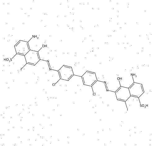 Nc1ccc(S(=O)(=O)O)c2c(I)cc(N=Nc3ccc(-c4ccc(N=Nc5cc(I)c6c(S(=O)(=O)O)ccc(N)c6c5O)c(Cl)c4)cc3Cl)c(O)c12